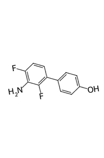 Nc1c(F)ccc(-c2ccc(O)cc2)c1F